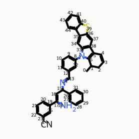 CC1CC=Cc2c1n(-c1cccc(/C=N/C(/C=C(\N)c3cccc(C#N)c3)c3ccccc3)c1)c1cc3c(cc21)sc1ccccc13